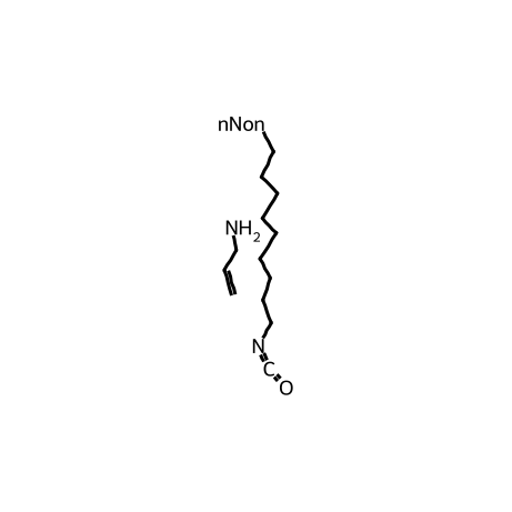 C=CCN.CCCCCCCCCCCCCCCCCCN=C=O